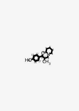 CC(CN1CCCCC1)C(=O)c1ccc(O)cc1